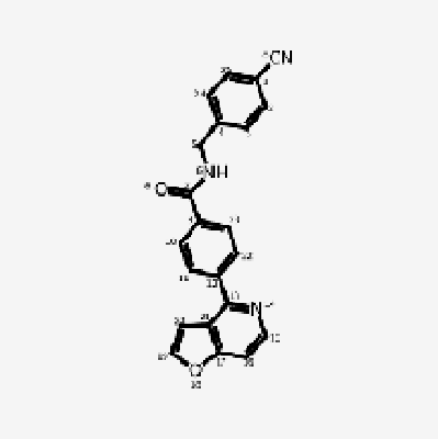 N#Cc1ccc(CNC(=O)c2ccc(-c3nccc4occc34)cc2)cc1